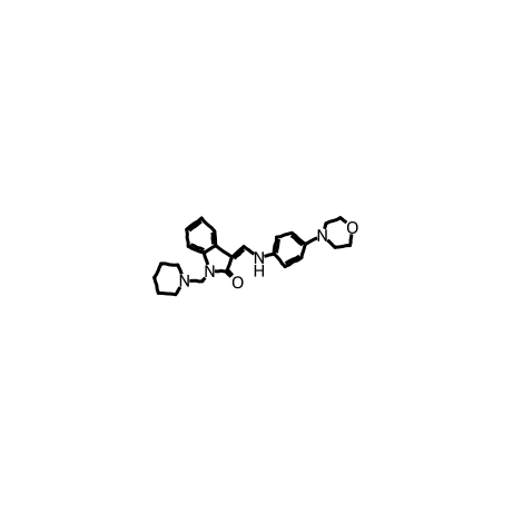 O=C1C(=CNc2ccc(N3CCOCC3)cc2)c2ccccc2N1CN1CCCCC1